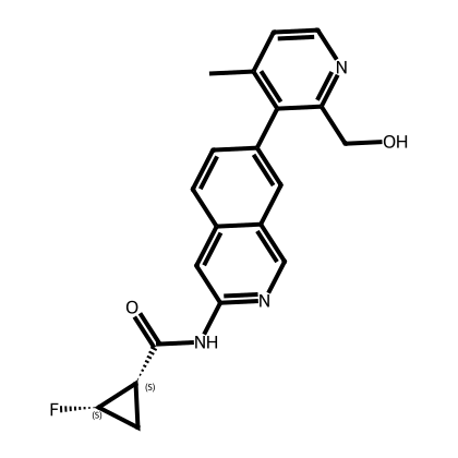 Cc1ccnc(CO)c1-c1ccc2cc(NC(=O)[C@@H]3C[C@@H]3F)ncc2c1